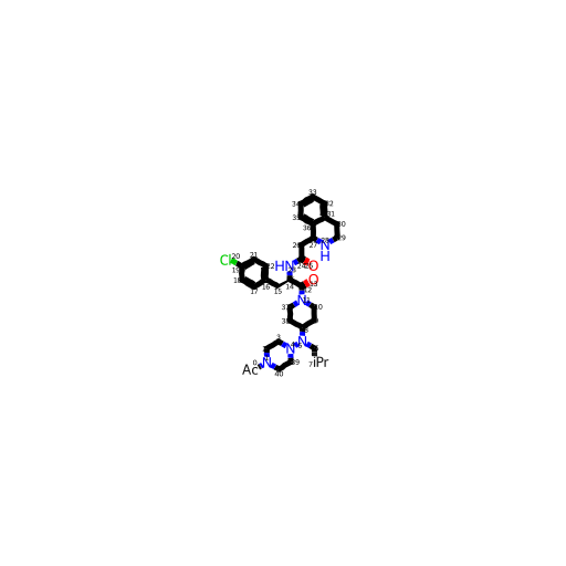 CC(=O)N1CCN(N(CC(C)C)C2CCN(C(=O)[C@@H](Cc3ccc(Cl)cc3)NC(=O)CC3NCCc4ccccc43)CC2)CC1